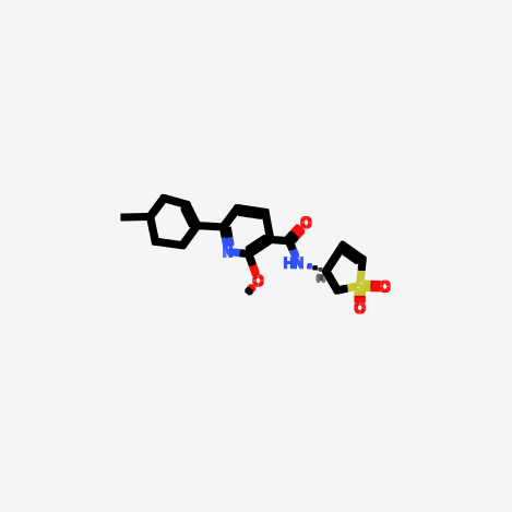 COc1nc(C2=CCC(C)CC2)ccc1C(=O)N[C@@H]1C=CS(=O)(=O)C1